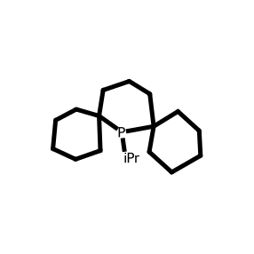 CC(C)P1C2(CCCCC2)CCCC12CCCCC2